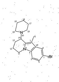 Cc1c2n(c3ccc(Br)cc13)CCCC2N1CCCCC1